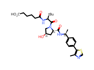 Cc1ncsc1-c1ccc([C@H](C)NC(=O)[C@@H]2C[C@@H](O)CN2C(=O)C(NC(=O)CCCCC(=O)O)C(C)(C)C)cc1